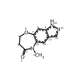 CN1C(=O)CCOc2cc3[nH]ncc3cc21